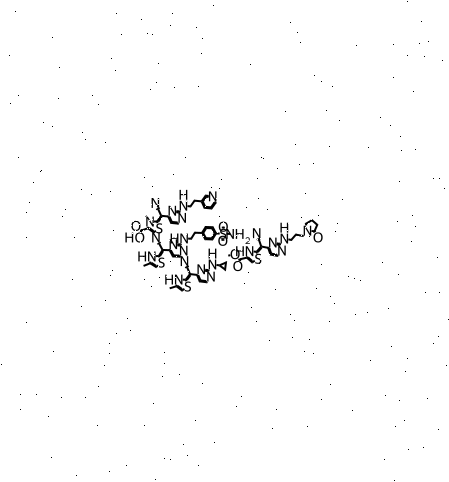 CC1=CSC(=C(C#N)c2ccnc(NC3CC3)n2)N1.CC1=CSC(=C(C#N)c2ccnc(NCCc3ccc(S(N)(=O)=O)cc3)n2)N1.CN1C(C(=O)O)=CSC1=C(C#N)c1ccnc(NCCc2cccnc2)n1.COC(=O)C1=CSC(=C(C#N)c2ccnc(NCCCN3CCCC3=O)n2)N1